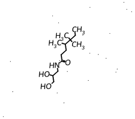 CCC(C)(C)C(C)CCC(=O)NCC(O)CO